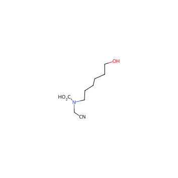 N#CCN(CCCCCCO)C(=O)O